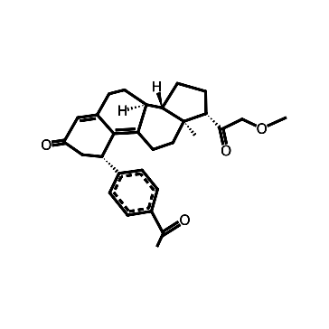 COCC(=O)[C@H]1CC[C@H]2[C@@H]3CCC4=CC(=O)C[C@@H](c5ccc(C(C)=O)cc5)C4=C3CC[C@]12C